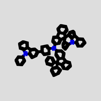 c1ccc(-n2c3ccccc3c3cc(-c4ccc(N(c5ccc6c(c5)C(c5ccccc5)(c5ccccc5)c5ccccc5-6)c5ccc6c(c5)C5(c7ccccc7-6)c6ccccc6-n6c7ccccc7c7cccc5c76)cc4)ccc32)cc1